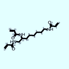 C=CC(=O)NCCCCCCC(CNC(=O)C=C)NC(=O)C=C